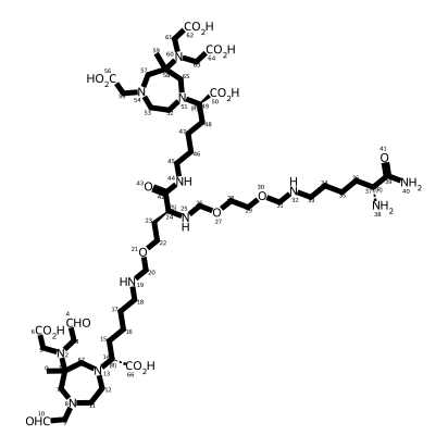 CC1(N(CC=O)CC(=O)O)CN(CC=O)CCN([C@H](CCCCNCOCC[C@H](NCOCCOCNCCCC[C@@H](N)C(N)=O)C(=O)NCCCC[C@H](C(=O)O)N2CCN(CC(=O)O)CC(C)(N(CC(=O)O)CC(=O)O)C2)C(=O)O)C1